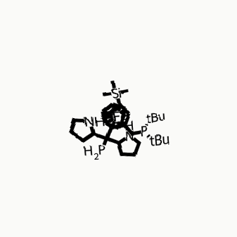 CC(C)(C)P(C[C]12[CH]3[C]4([Si](C)(C)C)[CH]5[C]1(C(P)(C1CCCN1)C1CCCN1)[Fe]35241678[CH]2[CH]1[CH]6[CH]7[CH]28)C(C)(C)C